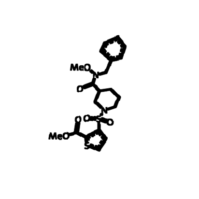 COC(=O)c1sccc1S(=O)(=O)N1CCCC(C(=O)N(Cc2ccccc2)OC)C1